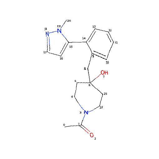 CC(=O)N1CCC(O)(Cc2ccccc2-c2ccnn2C)CC1